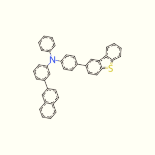 c1ccc(N(c2ccc(-c3ccc4sc5ccccc5c4c3)cc2)c2cccc(-c3ccc4ccccc4c3)c2)cc1